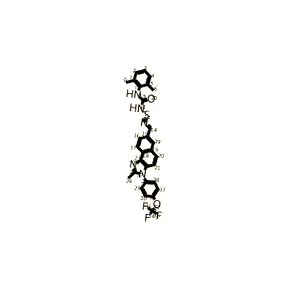 Cc1cccc(C)c1NC(=O)NS/N=C/c1ccc2c(ccc3c2nc(C)n3-c2ccc(OC(F)(F)F)cc2)c1